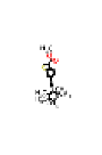 CCOC(=O)c1csc2cc(C#CC3=C(C)C(C)(C)CCC3(C)C)ccc12